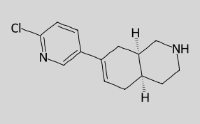 Clc1ccc(C2=CC[C@@H]3CCNC[C@@H]3C2)cn1